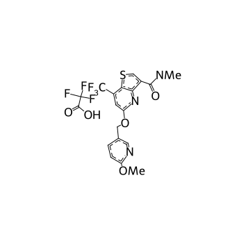 CNC(=O)c1csc2c(C(F)(F)F)cc(OCc3ccc(OC)nc3)nc12.O=C(O)C(F)(F)F